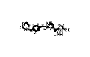 CCC1=CSC(=C(C#N)c2ccnc(OCc3ccc(CN4CCOCC4)cc3)n2)N1